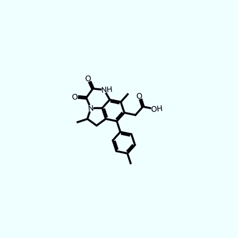 Cc1ccc(-c2c(CC(=O)O)c(C)c3[nH]c(=O)c(=O)n4c3c2CC4C)cc1